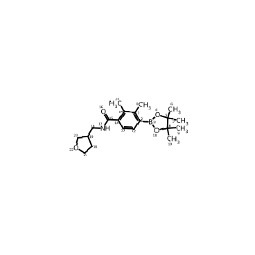 Cc1c(B2OC(C)(C)C(C)(C)O2)ccc(C(=O)NCC2CCOC2)c1C